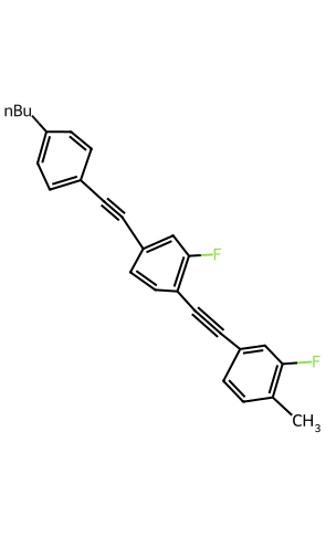 CCCCc1ccc(C#Cc2ccc(C#Cc3ccc(C)c(F)c3)c(F)c2)cc1